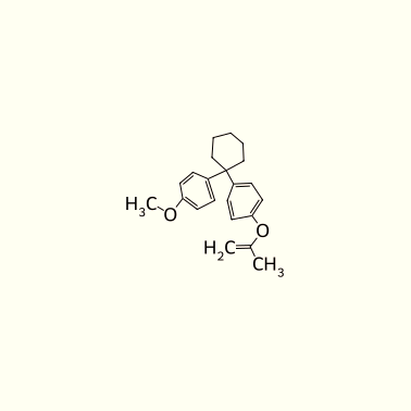 C=C(C)Oc1ccc(C2(c3ccc(OC)cc3)CCCCC2)cc1